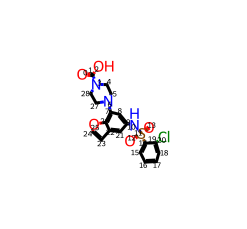 O=C(O)N1CCN(c2cc(NS(=O)(=O)c3ccccc3Cl)cc3ccoc23)CC1